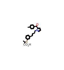 Cc1ccc(C(=O)c2cccn2CC/C=C/c2cccc(SC(C)C(=O)O)c2)cc1